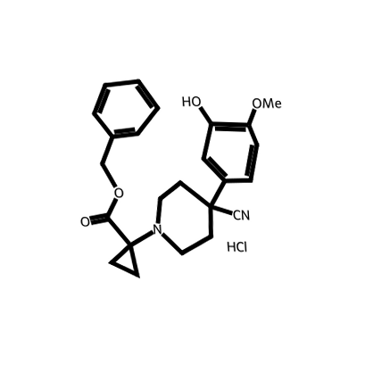 COc1ccc(C2(C#N)CCN(C3(C(=O)OCc4ccccc4)CC3)CC2)cc1O.Cl